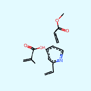 C=C(C)C(=O)O.C=CC(=O)OC.C=Cc1ccccn1